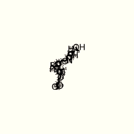 C=C(O)[C@H]1[C@@H]2Cc3cc(OCc4ccc(C(F)(F)F)c(-c5ccc(OCCCS(C)(=O)=O)nc5C)c4)ncc3[C@@H]21